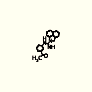 CC(=O)c1cccc(NC(=N)N2Cc3cccc4cccc2c34)c1